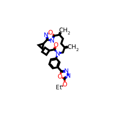 C=C(CCC(=C)c1nc(C2CC2)no1)CN(C(=O)C1CCC1)c1cccc(-c2nnc(OCC)o2)c1